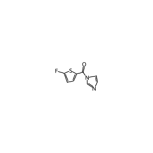 O=C(c1ccc(F)s1)n1ccnc1